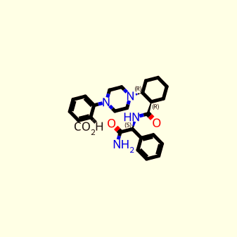 NC(=O)[C@@H](NC(=O)[C@@H]1CCCC[C@H]1N1CCN(c2ccccc2C(=O)O)CC1)c1ccccc1